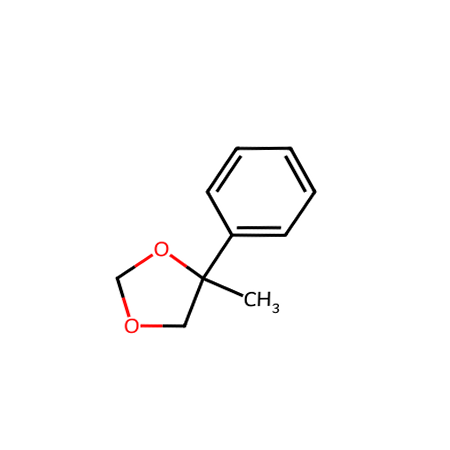 CC1(c2ccccc2)COCO1